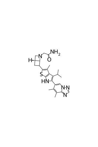 Cc1c(-c2[nH]c3sc(C4C[C@@H]5CN(CC(N)=O)C45)c(C)c3c2C(C)C)cn2ncnc2c1C